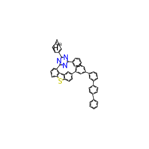 C1=CC2=C[C@H]2C=C1c1nc(-c2ccccc2)nc(-c2cccc3sc4ccc(-c5cccc(-c6cccc(-c7ccc(-c8ccccc8)cc7)c6)c5)cc4c23)n1